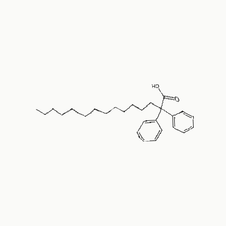 CCCCCCCCCCCCCC(C(=O)O)(c1ccccc1)c1ccccc1